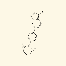 C[C@@H]1CCC[C@H](C)N1c1ccc(-c2cnc3c(Br)cnn3c2)cc1